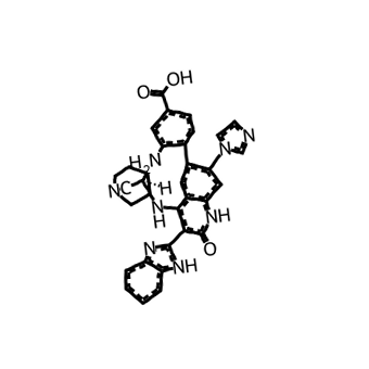 Nc1cc(C(=O)O)ccc1-c1cc2c(N[C@H]3CN4CCC3CC4)c(-c3nc4ccccc4[nH]3)c(=O)[nH]c2cc1-n1ccnc1